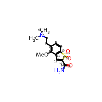 COc1c(CCN(C)C)ccc2c1C=C(C(N)=O)S2(=O)=O